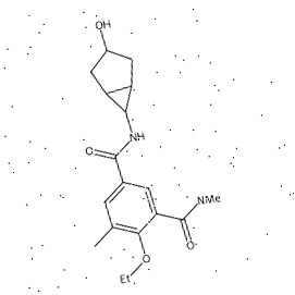 CCOc1c(C)cc(C(=O)NC2C3CC(O)CC32)cc1C(=O)NC